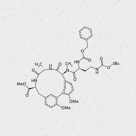 COC(=O)[C@@H]1Cc2ccc(OC)c(c2)-c2cc(ccc2OC)[C@H](N(C)C(=O)[C@H](CCNC(=O)OC(C)(C)C)NC(=O)OCc2ccccc2)C(=O)N[C@@H](C)C(=O)N1